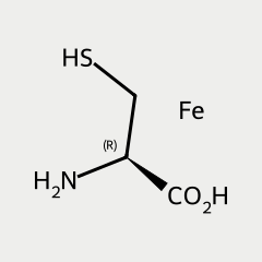 N[C@@H](CS)C(=O)O.[Fe]